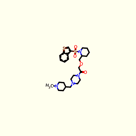 CN1CCC(CN2CCN(C(=O)COCC3CCCCN3S(=O)(=O)c3csc4ccccc34)CC2)CC1